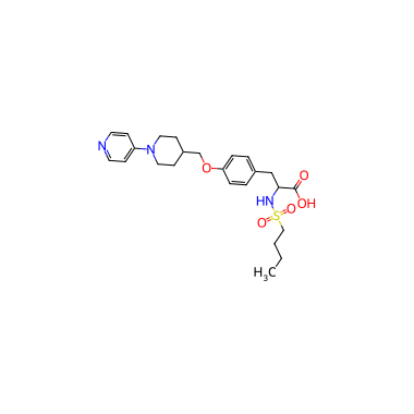 CCCCS(=O)(=O)NC(Cc1ccc(OCC2CCN(c3ccncc3)CC2)cc1)C(=O)O